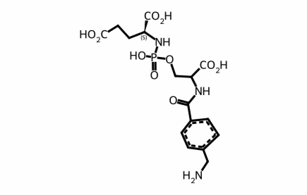 NCc1ccc(C(=O)NC(COP(=O)(O)N[C@@H](CCC(=O)O)C(=O)O)C(=O)O)cc1